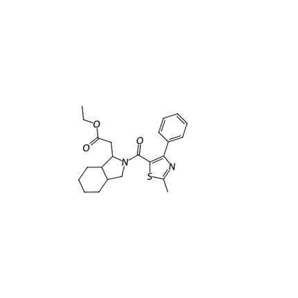 CCOC(=O)CC1C2CCCCC2CN1C(=O)c1sc(C)nc1-c1ccccc1